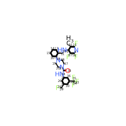 Cc1c(F)nc(F)c(F)c1NCc1ccccc1N1CCN(C(=O)Nc2cc(CF)cc(C(F)(F)F)c2)CC1